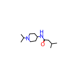 CC(C)CC(=O)NC1CCN(C(C)C)CC1